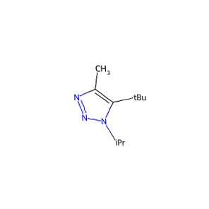 Cc1nnn(C(C)C)c1C(C)(C)C